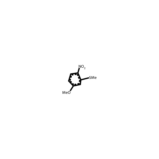 COc1ccc([N+](=O)[O-])c(SC)c1